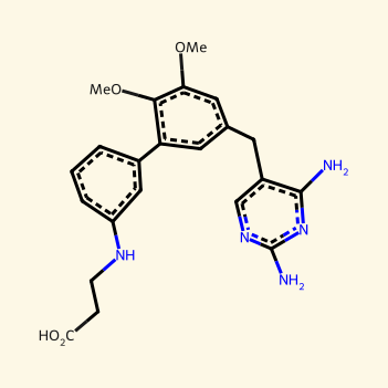 COc1cc(Cc2cnc(N)nc2N)cc(-c2cccc(NCCC(=O)O)c2)c1OC